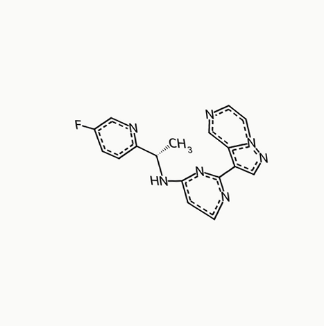 C[C@H](Nc1ccnc(-c2cnn3ccncc23)n1)c1ccc(F)cn1